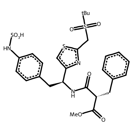 COC(=O)[C@@H](Cc1ccccc1)C(=O)N[C@@H](Cc1ccc(NS(=O)(=O)O)cc1)c1csc(CS(=O)(=O)C(C)(C)C)n1